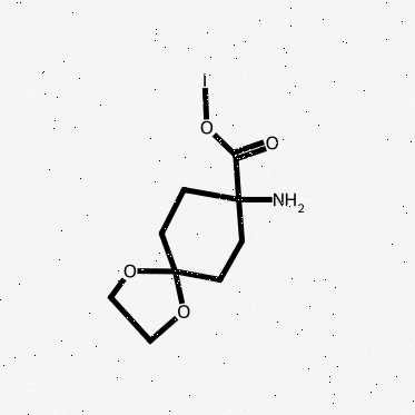 NC1(C(=O)OI)CCC2(CC1)OCCO2